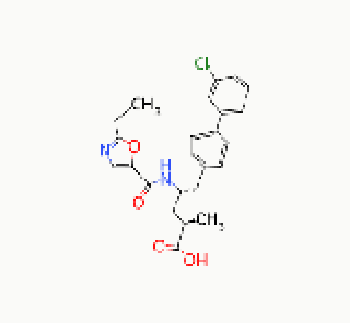 CCc1ncc(C(=O)N[C@H](Cc2ccc(-c3cccc(Cl)c3)cc2)C[C@@H](C)C(=O)O)o1